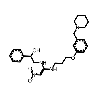 O=[N+]([O-])C=C(NCCCOc1cccc(CN2CCCCC2)c1)NCC(O)c1ccccc1